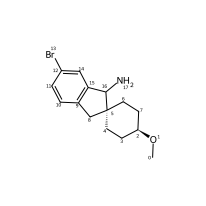 CO[C@H]1CC[C@]2(CC1)Cc1ccc(Br)cc1C2N